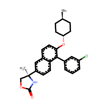 CC(C)(C)[C@H]1CC[C@H](Oc2ccc3cc([C@]4(C)COC(=O)N4)ccc3c2-c2cccc(Cl)c2)CC1